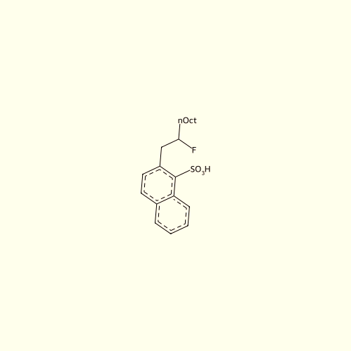 CCCCCCCCC(F)Cc1ccc2ccccc2c1S(=O)(=O)O